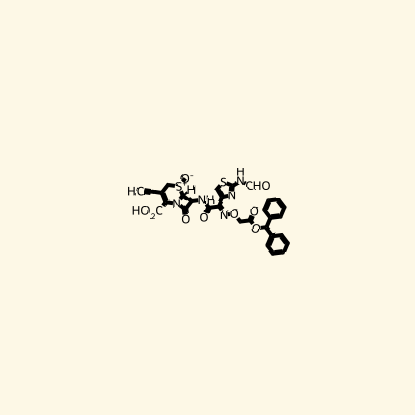 C#CC1=C(C(=O)O)N2C(=O)C(NC(=O)/C(=N/OCC(=O)OC(c3ccccc3)c3ccccc3)c3csc(NC=O)n3)[C@H]2[S+]([O-])C1